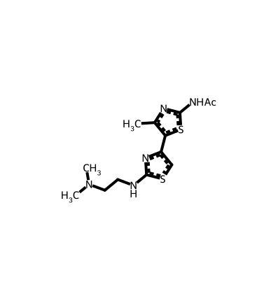 CC(=O)Nc1nc(C)c(-c2csc(NCCN(C)C)n2)s1